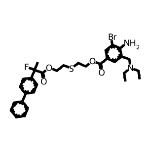 CCN(CC)Cc1cc(C(=O)OCCSCCOC(=O)C(C)(F)c2ccc(-c3ccccc3)cc2)cc(Br)c1N